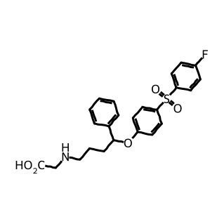 O=C(O)CNCCCC(Oc1ccc(S(=O)(=O)c2ccc(F)cc2)cc1)c1ccccc1